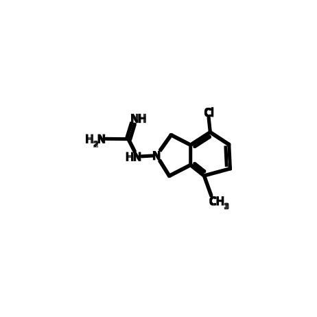 Cc1ccc(Cl)c2c1CN(NC(=N)N)C2